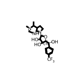 CC1C2CCN([C@@H]3O[C@H]([C@H](O)c4ccc(C(F)(F)F)cc4)[C@@](C)(O)[C@H]3O)C2NCN1C